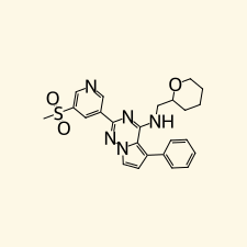 CS(=O)(=O)c1cncc(-c2nc(NCC3CCCCO3)c3c(-c4ccccc4)ccn3n2)c1